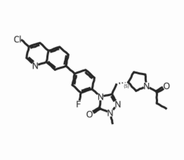 CCC(=O)N1CC[C@@H](Cc2nn(C)c(=O)n2-c2ccc(-c3ccc4cc(Cl)cnc4c3)cc2F)C1